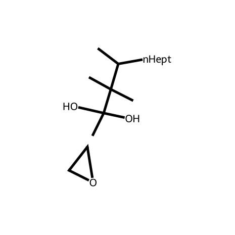 C1CO1.CCCCCCCC(C)C(C)(C)C(C)(O)O